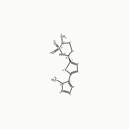 CN1CC[C@@H](c2ccc(-c3ccnn3C)s2)NS1(=O)=O